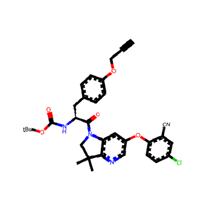 C#CCOc1ccc(C[C@H](NC(=O)OC(C)(C)C)C(=O)N2CC(C)(C)c3ncc(Oc4ccc(Cl)cc4C#N)cc32)cc1